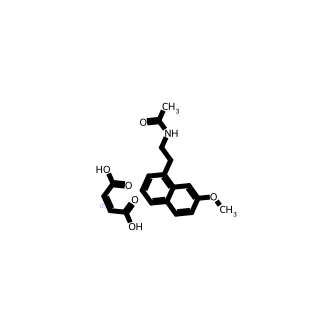 COc1ccc2cccc(CCNC(C)=O)c2c1.O=C(O)/C=C\C(=O)O